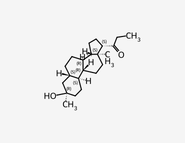 CCC(=O)[C@H]1CC[C@H]2[C@@H]3CC[C@H]4C[C@](C)(O)CC[C@@H]4[C@H]3CC[C@]12C